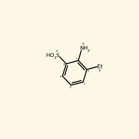 CCc1cccc(S(=O)(=O)O)c1N